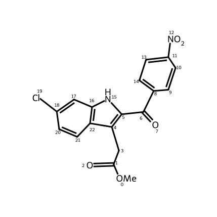 COC(=O)Cc1c(C(=O)c2ccc([N+](=O)[O-])cc2)[nH]c2cc(Cl)ccc12